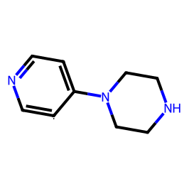 [c]1cnccc1N1CCNCC1